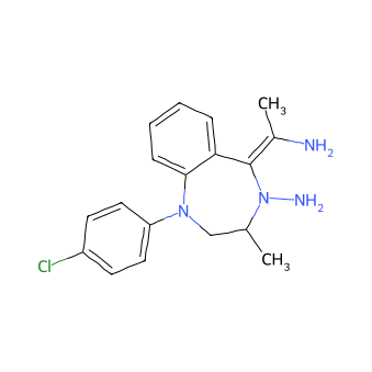 C/C(N)=C1\c2ccccc2N(c2ccc(Cl)cc2)CC(C)N1N